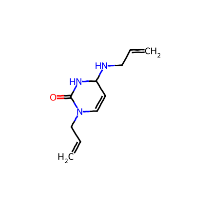 C=CCNC1C=CN(CC=C)C(=O)N1